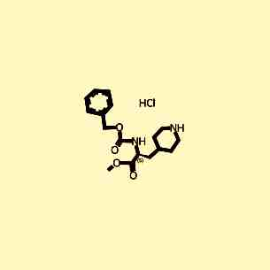 COC(=O)[C@H](CC1CCNCC1)NC(=O)OCc1ccccc1.Cl